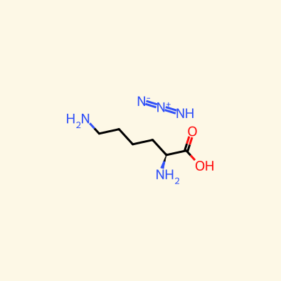 NCCCC[C@H](N)C(=O)O.[N-]=[N+]=N